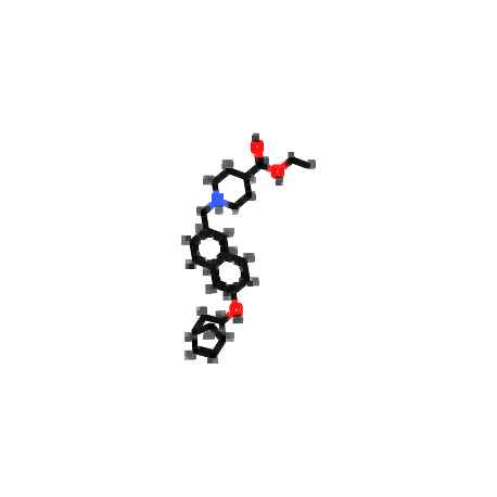 CCOC(=O)C1CCN(Cc2ccc3cc(OC4CC5C=CC4C5)ccc3c2)CC1